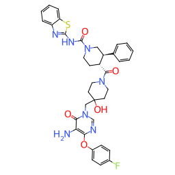 Nc1c(Oc2ccc(F)cc2)ncn(CC2(O)CCN(C(=O)[C@@H]3CCN(C(=O)Nc4nc5ccccc5s4)C[C@H]3c3ccccc3)CC2)c1=O